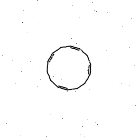 [C]1=CCCC=CCC=CCC=CCC1